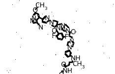 CCOc1cc(-c2ccc(N3CCC(CN4CCN(C(=O)CCN5CCN(c6cccc(NC(C)CCC(=O)NC=O)c6)CC5)CC4)(NC(=O)c4cc(F)ccc4F)CC3)nc2)c2c(C#N)cnn2c1